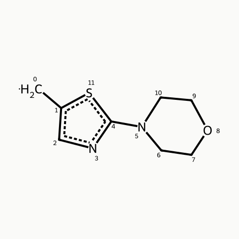 [CH2]c1cnc(N2CCOCC2)s1